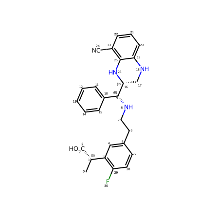 C[C@H](C(=O)O)c1cc(CCN[C@H](c2ccccc2)[C@H]2CNc3cccc(C#N)c3N2)ccc1F